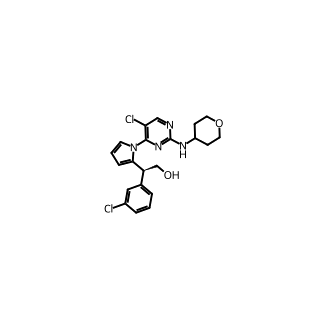 OC[C@@H](c1cccc(Cl)c1)c1cccn1-c1nc(NC2CCOCC2)ncc1Cl